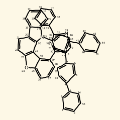 c1ccc(-c2ccc(-c3cccc(-n4c5ccccc5c5ccc6oc7cccc(-c8nc(-c9ccccc9)nc(-c9ccccc9)n8)c7c6c54)c3)cc2)cc1